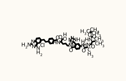 CC(NC(=O)C(NC(=O)OC(C)(C)C)C(C)C)C(=O)Nc1ccc(C(=O)NCCCC(NC(=O)c2ccc(CCc3ccc4nc(N)nc(N)c4c3Cl)cc2)C(=O)O)c(-c2nnn[nH]2)c1